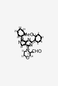 COc1ccccc1-c1nc(N2CCOCC2C=O)c2cnn(-c3ccccc3)c2n1